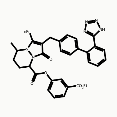 CCCc1c(Cc2ccc(-c3ccccc3-c3nnn[nH]3)cc2)c(=O)n2n1C(C)CCC2C(=O)Oc1cccc(C(=O)OCC)c1